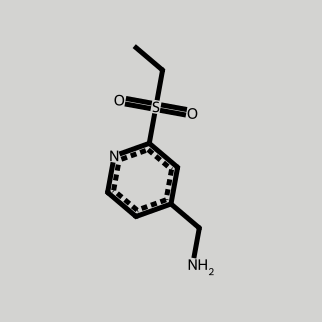 CCS(=O)(=O)c1cc(CN)ccn1